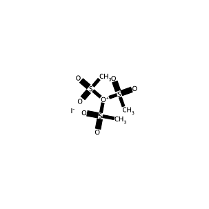 CS(=O)(=O)[O+](S(C)(=O)=O)S(C)(=O)=O.[I-]